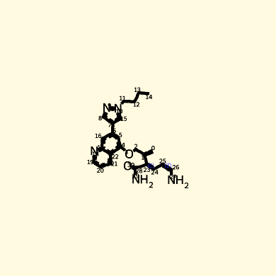 C=C(COc1cc(-c2cnn(CCCC)c2)cc2ncccc12)/C(=C\C=C/N)C(N)=O